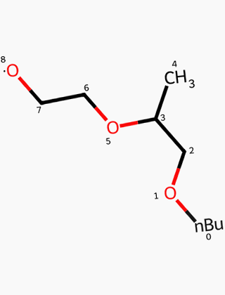 CCCCOCC(C)OCC[O]